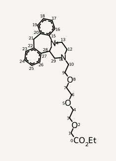 CCOC(=O)COCCOCCOCCN1CCN2c3ccccc3Cc3ccccc3C2C1